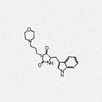 O=C1NC(Cc2c[nH]c3ccccc23)C(=O)N1CCCN1CCOCC1